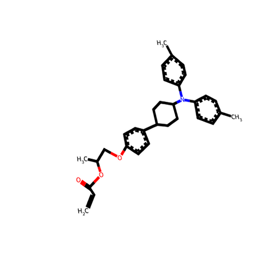 C=CC(=O)OC(C)COc1ccc(C2CCC(N(c3ccc(C)cc3)c3ccc(C)cc3)CC2)cc1